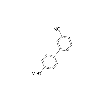 COc1ccc(-c2[c]ccc(C#N)c2)cc1